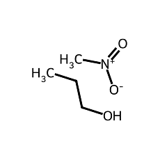 CCCO.C[N+](=O)[O-]